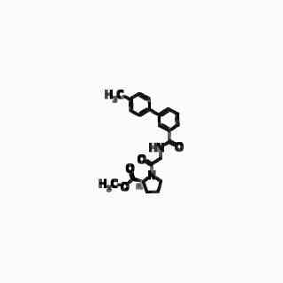 COC(=O)[C@@H]1CCCN1C(=O)CNC(=O)c1cccc(-c2ccc(C)cc2)c1